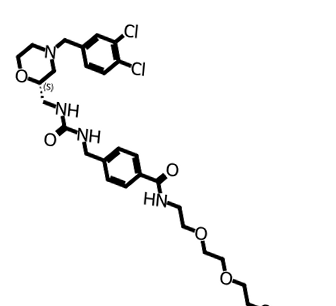 CCOCCOCCOCCNC(=O)c1ccc(CNC(=O)NC[C@H]2CN(Cc3ccc(Cl)c(Cl)c3)CCO2)cc1